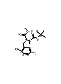 COC(=O)[C@H](Cc1cc(Br)ccc1Cl)NC(=O)OC(C)(C)C